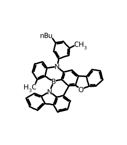 CCCCc1cc(C)cc(N2c3cccc(C)c3B3c4c2cc2c(oc5ccccc52)c4-c2cccc4c5ccccc5n3c24)c1